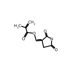 C=C(C)C(=O)OC=C1CC(=O)[N]C1=O